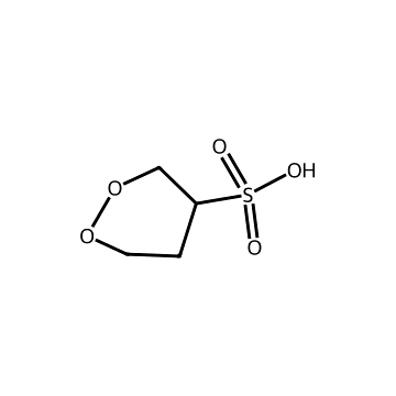 O=S(=O)(O)C1CCOOC1